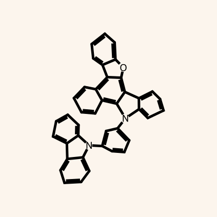 c1cc(-n2c3ccccc3c3ccccc32)cc(-n2c3ccccc3c3c4oc5ccccc5c4c4ccccc4c32)c1